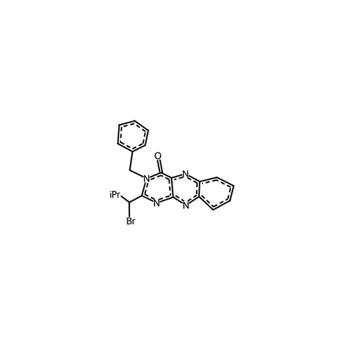 CC(C)C(Br)c1nc2nc3ccccc3nc2c(=O)n1Cc1ccccc1